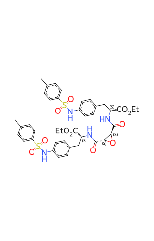 CCOC(=O)[C@H](Cc1ccc(NS(=O)(=O)c2ccc(C)cc2)cc1)NC(=O)[C@H]1O[C@@H]1C(=O)N[C@@H](Cc1ccc(NS(=O)(=O)c2ccc(C)cc2)cc1)C(=O)OCC